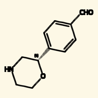 O=Cc1ccc([C@H]2CNCCO2)cc1